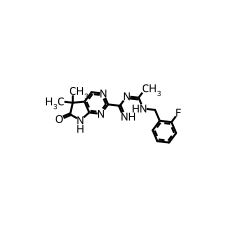 C/C(=N/C(=N)c1ncc2c(n1)NC(=O)C2(C)C)NCc1ccccc1F